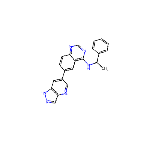 CC(Nc1ncnc2ccc(-c3cnc4cn[nH]c4c3)cc12)c1ccccc1